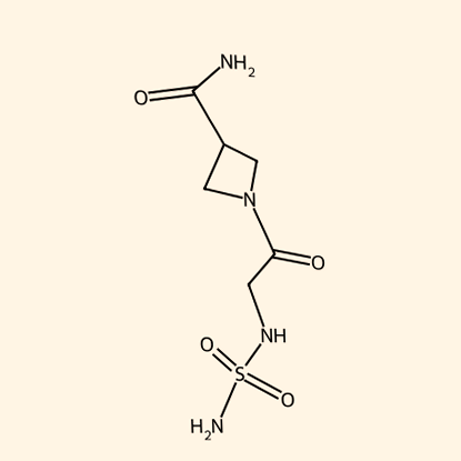 NC(=O)C1CN(C(=O)CNS(N)(=O)=O)C1